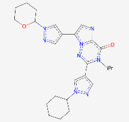 CC(C)n1c(-c2cnn(C3CCCCC3)c2)nn2c(-c3cnn(C4CCCCO4)c3)cnc2c1=O